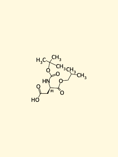 CC(C)COC(=O)[C@@H](CC(=O)O)NC(=O)OC(C)(C)C